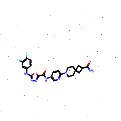 NC(=O)C1CC2(CCN(c3ccc(NC(=O)c4nnc(Nc5ccc(F)c(F)c5)o4)cn3)CC2)C1